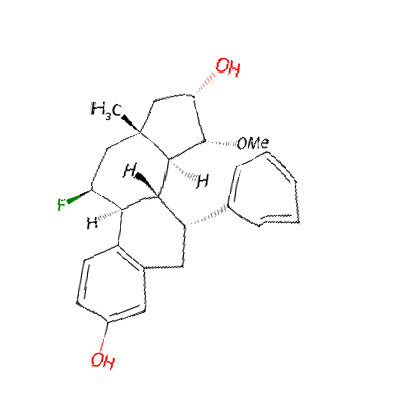 CO[C@@H]1[C@H]2[C@H]3[C@@H](c4ccc(O)cc4C[C@H]3c3ccccc3)[C@@H](F)C[C@]2(C)C[C@@H]1O